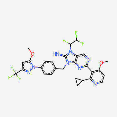 COc1ccnc(C2CC2)c1-c1ncc2c(n1)n(Cc1ccc(-n3nc(C(F)(F)F)cc3OC)cc1)c(=N)n2C(F)C(F)F